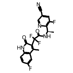 Cc1c(C(F)(F)C(=O)N[C@H](C)c2ncc(C#N)cc2F)c(=O)[nH]c2ccc(F)cc12